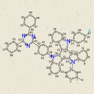 Cc1cccc(-n2c3ccccc3c3c4c(c5ccccc5n4-c4ccc(F)cc4)c4c(c5ccccc5n4-c4ccc(-c5nc(-c6ccccc6)nc(-c6ccccc6)n5)cc4)c32)c1